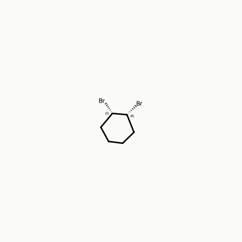 Br[C@@H]1CCCC[C@@H]1Br